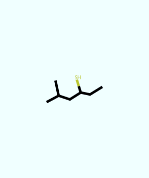 CCC(S)CC(C)C